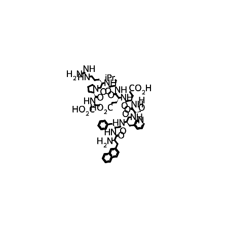 CC(C)C[C@H](NC(=O)[C@@H](CCC(=O)O)NC(=O)[C@@H](CCC(=O)O)NC(=O)[C@H](CO)NC(=O)[C@@H](Cc1cccnc1)NC(=O)[C@@H](Cc1ccccc1)NC(=O)[C@H](N)Cc1ccc2ccccc2c1)C(=O)N[C@@H](CCCNC(=N)N)C(=O)N1CCC[C@H]1C(=O)N[C@H](C)C(=O)O